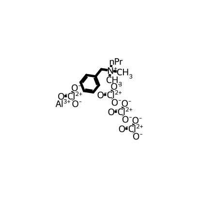 CCC[N+](C)(C)Cc1ccccc1.[Al+3].[O-][Cl+2]([O-])[O-].[O-][Cl+2]([O-])[O-].[O-][Cl+2]([O-])[O-].[O-][Cl+2]([O-])[O-]